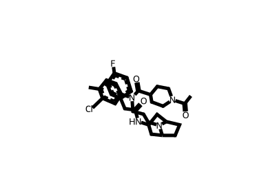 CC(=O)N1CCC(C(=O)N(CCCN2C3CCC2CC(NC(=O)Cc2ccc(F)cc2)C3)c2ccc(C)c(Cl)c2)CC1